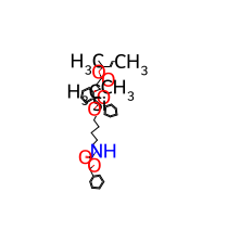 CC=CC(C)OC(=O)CC(C)(C)O[Si](OCCCCCCNC(=O)OCc1ccccc1)(c1ccccc1)c1ccccc1